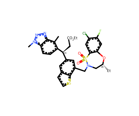 CCOC(=O)C[C@@H](c1cc(CN2C[C@@H](CC)Oc3cc(F)c(Cl)cc3S2(=O)=O)c2sccc2c1)c1ccc2c(nnn2C)c1C